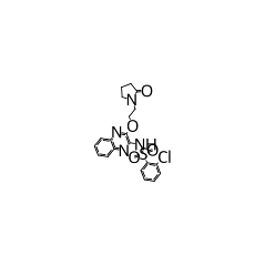 O=C1CCCN1CCOc1nc2ccccc2nc1NS(=O)(=O)c1ccccc1Cl